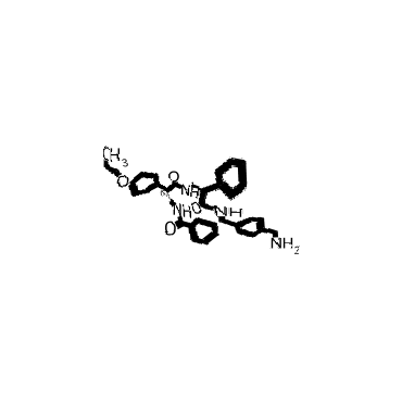 CCCOc1ccc([C@@H](CNC(=O)c2ccccc2)C(=O)NC[C@H](C(=O)NCc2ccc(CN)cc2)c2ccccc2)cc1